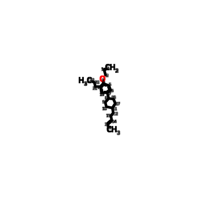 C=CCOc1ccc(C2CCC(CCC=CC)CC2)cc1CCC